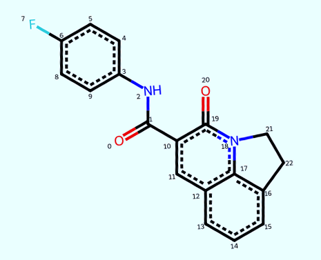 O=C(Nc1ccc(F)cc1)c1cc2cccc3c2n(c1=O)CC3